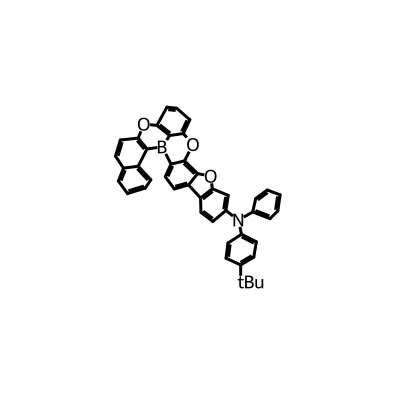 CC(C)(C)c1ccc(N(c2ccccc2)c2ccc3c(c2)oc2c4c(ccc23)B2c3c(cccc3O4)Oc3ccc4ccccc4c32)cc1